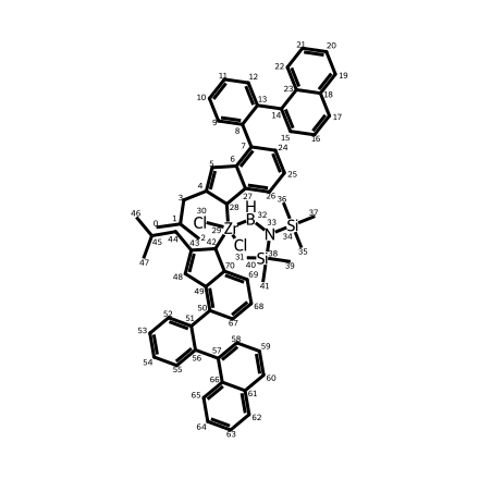 CC(C)CC1=Cc2c(-c3ccccc3-c3cccc4ccccc34)cccc2[CH]1[Zr]([Cl])([Cl])([BH]N([Si](C)(C)C)[Si](C)(C)C)[CH]1C(CC(C)C)=Cc2c(-c3ccccc3-c3cccc4ccccc34)cccc21